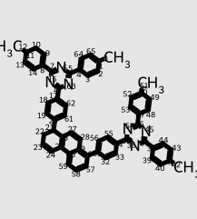 Cc1ccc(-c2nc(C3=CCC(C)C=C3)nc(-c3ccc(C4CC=Cc5c4ccc4c(-c6ccc(-c7nc(-c8ccc(C)cc8)nc(-c8ccc(C)cc8)n7)cc6)cccc54)cc3)n2)cc1